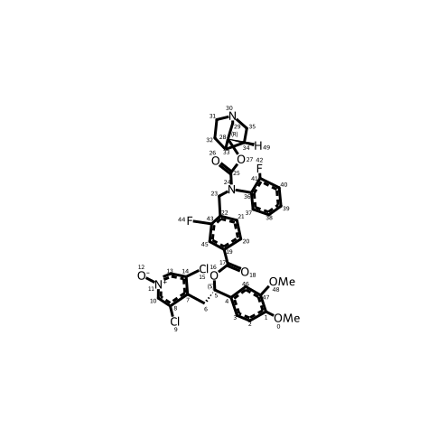 COc1ccc([C@H](Cc2c(Cl)c[n+]([O-])cc2Cl)OC(=O)c2ccc(CN(C(=O)O[C@H]3CN4CCC3CC4)c3ccccc3F)c(F)c2)cc1OC